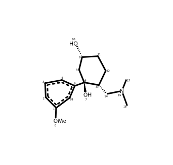 COc1cccc([C@]2(O)C[C@H](O)CC[C@@H]2CN(C)C)c1